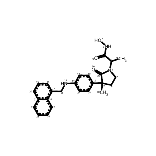 CC(C(=O)NO)N1CCC(C)(c2ccc(NCc3cccc4ccccc34)cc2)C1=O